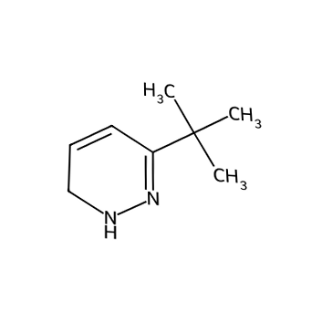 CC(C)(C)C1=NNCC=C1